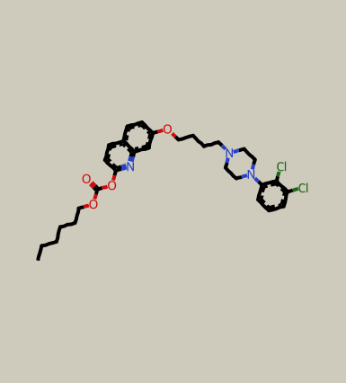 CCCCCCOC(=O)Oc1ccc2ccc(OCCCCN3CCN(c4cccc(Cl)c4Cl)CC3)cc2n1